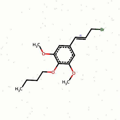 CCCCOc1c(OC)cc(/C=C/CBr)cc1OC